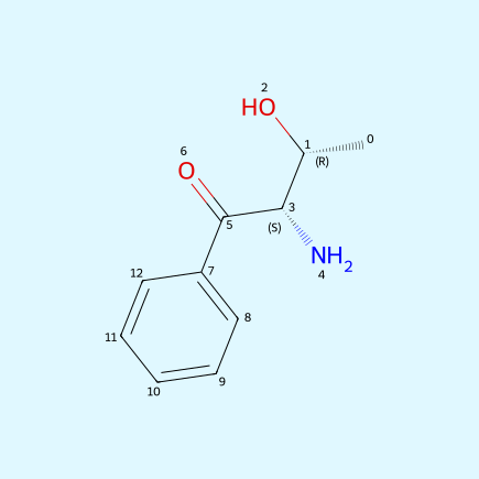 C[C@@H](O)[C@H](N)C(=O)c1ccccc1